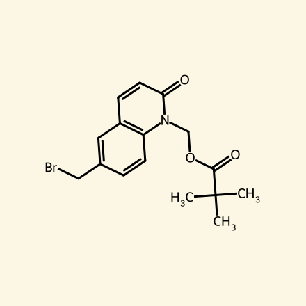 CC(C)(C)C(=O)OCn1c(=O)ccc2cc(CBr)ccc21